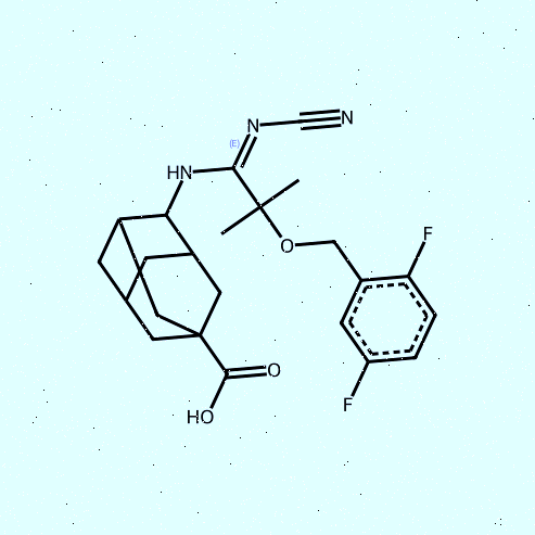 CC(C)(OCc1cc(F)ccc1F)/C(=N\C#N)NC1C2CC3CC1CC(C(=O)O)(C3)C2